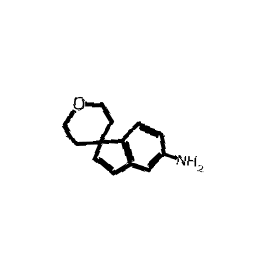 Nc1ccc2c(c1)C=CC21CCOCC1